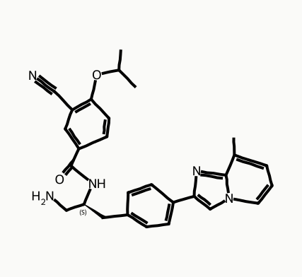 Cc1cccn2cc(-c3ccc(C[C@@H](CN)NC(=O)c4ccc(OC(C)C)c(C#N)c4)cc3)nc12